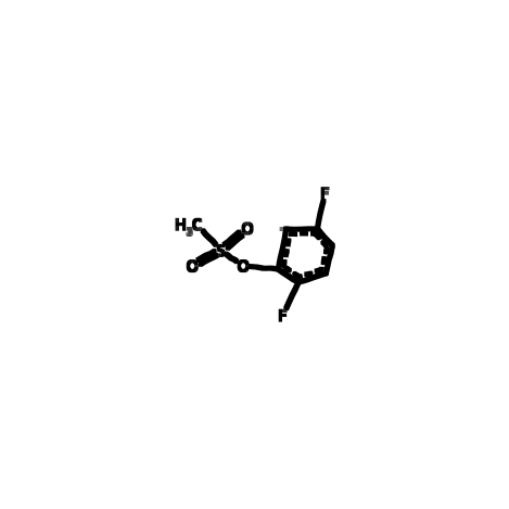 CS(=O)(=O)Oc1[c]c(F)ccc1F